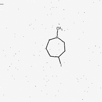 CN1CCCC(I)CC1